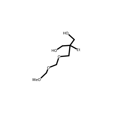 CCC(CO)(CO)COCOCOC